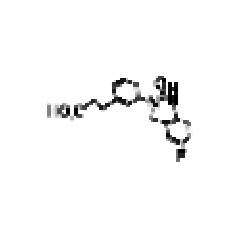 O=C(O)CCc1cccc(N2Cc3cc(F)ccc3NC2=O)c1